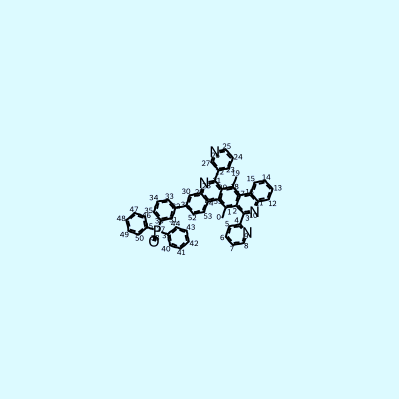 Cc1c2c(-c3ccccn3)nc3ccccc3c2c(C)c2c(-c3cccnc3)nc3cc(-c4cccc(P(=O)(c5ccccc5)c5ccccc5)c4)ccc3c12